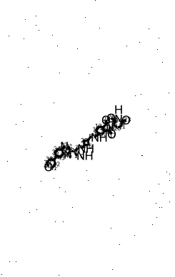 N=C/C(=C\NC1CC(CNc2ccc3c(c2)C(=O)N(C2CCC(=O)NC2=O)C3=O)C1)c1cnc2ccc(C3CCOCC3)cc2n1